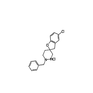 Cl.Clc1ccc2c(c1)CC1(CCN(Cc3ccccc3)CC1)O2